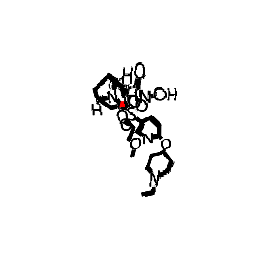 CCN1CCC(Oc2ccc(S(=O)(=O)N3C[C@H]4CC[C@@H]([C@@H]3C(=O)NO)N4C(=O)OCCOC)cn2)CC1